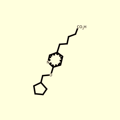 O=C(O)CCCCc1ccc(OCC2CCCC2)nc1